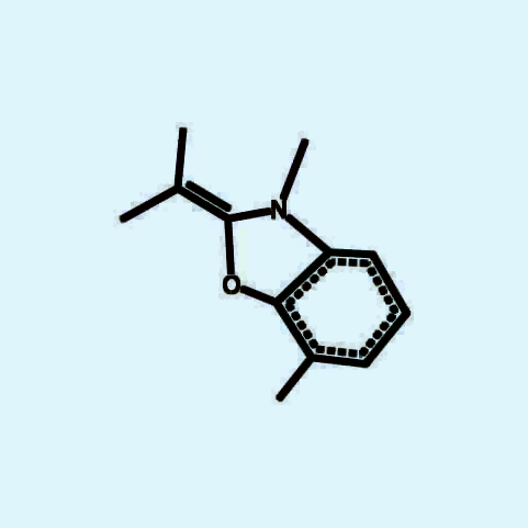 CC(C)=C1Oc2c(C)cccc2N1C